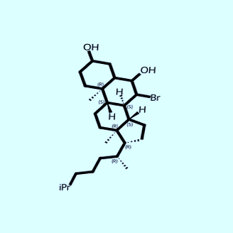 CC(C)CCC[C@@H](C)[C@H]1CC[C@H]2[C@@H]3C(Br)C(O)C4CC(O)CC[C@]4(C)[C@H]3CC[C@]12C